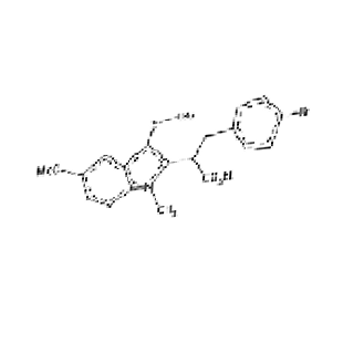 CCOC(=O)C(Cc1ccc(Br)cc1)c1c(SC(C)(C)C)c2cc(OC)ccc2n1C